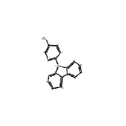 N#Cc1ccc(-n2c3c[c]ccc3c3ccccc32)cc1